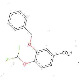 O=C(O)c1ccc(OC(F)F)c(OCc2ccccc2)c1